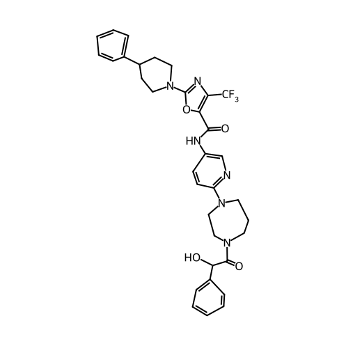 O=C(Nc1ccc(N2CCCN(C(=O)C(O)c3ccccc3)CC2)nc1)c1oc(N2CCC(c3ccccc3)CC2)nc1C(F)(F)F